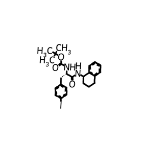 CC(C)(C)OC(=O)N[C@@H](Cc1ccc(I)cc1)C(=O)NC1CCCc2ccccc21